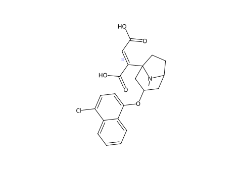 CN1C2CCC1(/C(=C\C(=O)O)C(=O)O)CC(Oc1ccc(Cl)c3ccccc13)C2